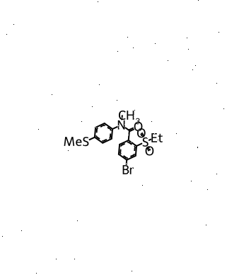 CCS(=O)(=O)c1cc(Br)ccc1C(=O)N(C)c1ccc(SC)cc1